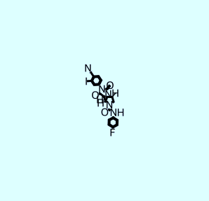 N#Cc1ccc(N2C(=O)[C@H]3[C@@H]4C[C@@H](CN4C(=O)Nc4ccc(F)cc4)N3C2=O)cc1I